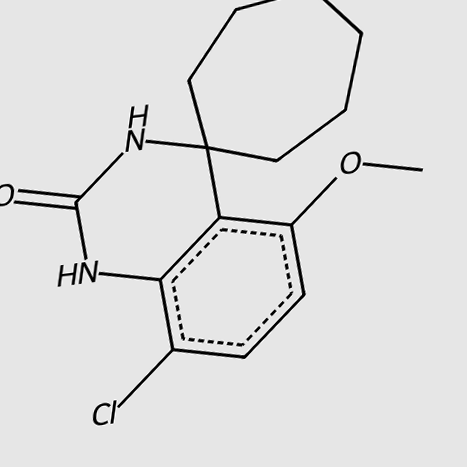 COc1ccc(Cl)c2c1C1(CCCCCC1)NC(=O)N2